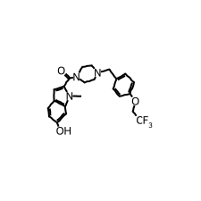 Cn1c(C(=O)N2CCN(Cc3ccc(OCC(F)(F)F)cc3)CC2)cc2ccc(O)cc21